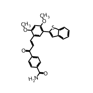 COc1cc(OC)c(-c2cc3ccccc3s2)cc1C=CC(=O)c1ccc(C(N)=O)cc1